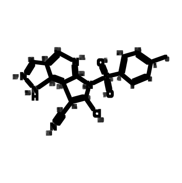 Cc1ccc(S(=O)(=O)n2c(Cl)c(C#N)c3c4[nH]ncc4cnc32)cc1